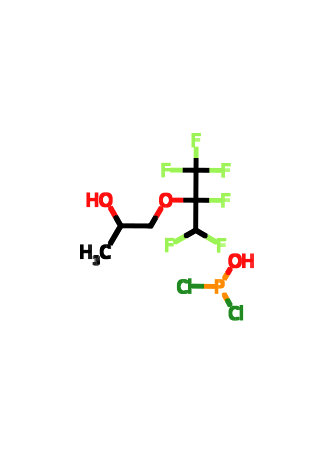 CC(O)COC(F)(C(F)F)C(F)(F)F.OP(Cl)Cl